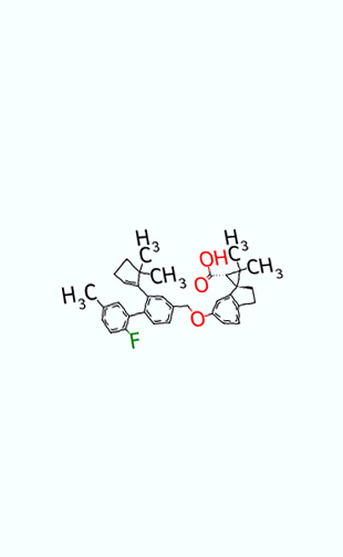 Cc1ccc(F)c(-c2ccc(COc3ccc4c(c3)[C@]3(CC4)[C@H](C(=O)O)C3(C)C)cc2C2=CCCC2(C)C)c1